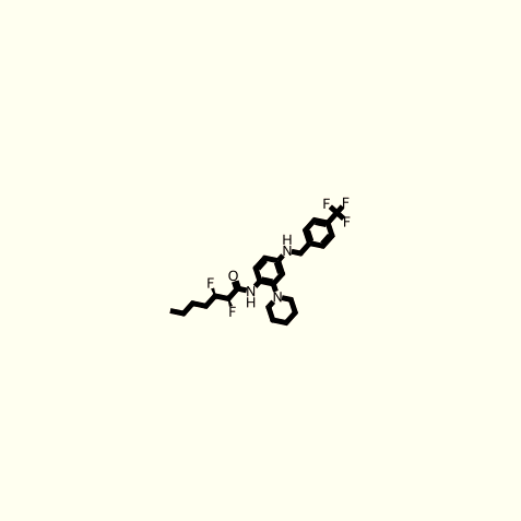 CCCC[C@@H](F)[C@H](F)C(=O)Nc1ccc(NCc2ccc(C(F)(F)F)cc2)cc1N1CCCCC1